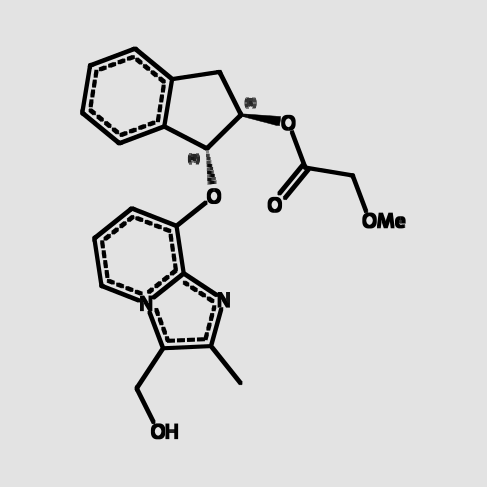 COCC(=O)O[C@@H]1Cc2ccccc2[C@H]1Oc1cccn2c(CO)c(C)nc12